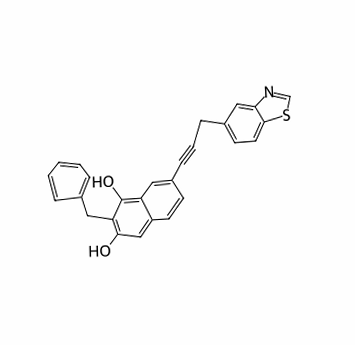 Oc1cc2ccc(C#CCc3ccc4scnc4c3)cc2c(O)c1Cc1ccccc1